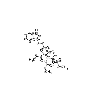 CCC(=O)O[C@@H]1[C@@H](OC(=O)CC)[C@H](OC(=O)CCc2c[nH]c3ccccc23)OC[C@H]1OC(=O)CC